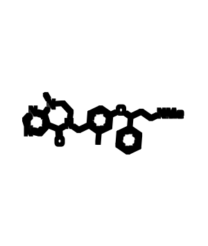 CNCCC(Oc1ccc(CN2CCN(C)c3ncncc3C2=O)c(C)c1)c1ccccc1